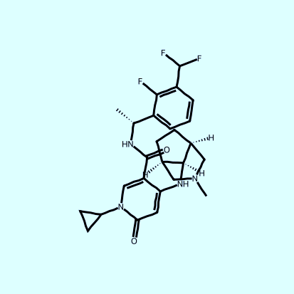 C[C@@H](NC(=O)c1cn(C2CC2)c(=O)cc1N[C@H]1[C@@H]2CC[C@H]1CN(C)C2)c1cccc(C(F)F)c1F